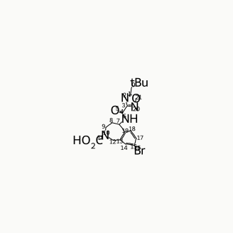 CC(C)(C)c1nc(C(=O)NC2CCN(C(=O)O)Cc3cc(Br)ccc32)no1